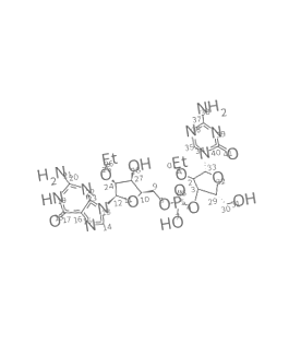 CCOC1C(OP(=O)(O)OC[C@H]2O[C@@H](n3cnc4c(=O)[nH]c(N)nc43)[C@@H](OCC)[C@H]2O)[C@@H](CO)O[C@H]1n1cnc(N)nc1=O